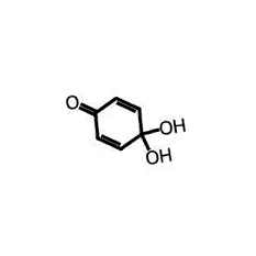 O=C1C=CC(O)(O)C=C1